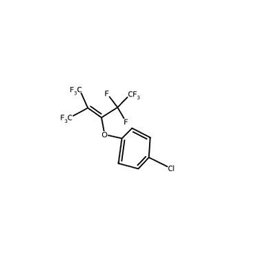 FC(F)(F)C(=C(Oc1ccc(Cl)cc1)C(F)(F)C(F)(F)F)C(F)(F)F